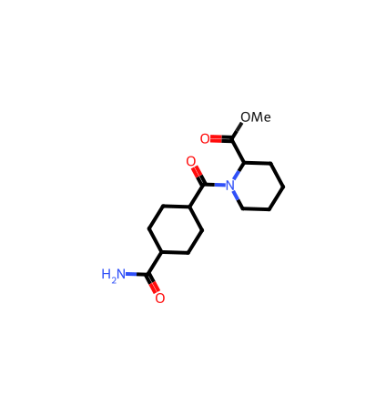 COC(=O)C1CCCCN1C(=O)C1CCC(C(N)=O)CC1